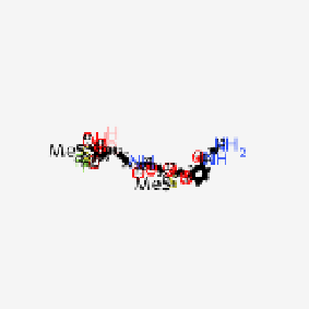 CSSC(COc1cccc(C(=O)NCCN)c1)OCCOCC(=O)NCC#CB[C@H]1C[C@@H](OC(F)(F)SSC)C(CO)O1